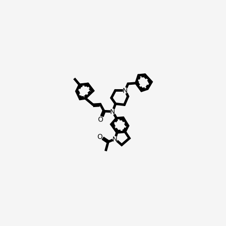 CC(=O)N1CCc2ccc(N(C(=O)/C=C/c3ccc(C)cc3)C3CCN(Cc4ccccc4)CC3)cc21